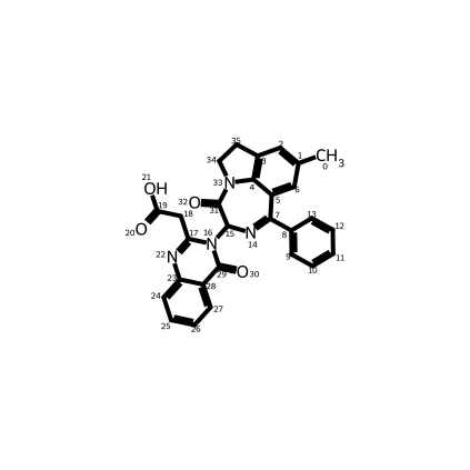 Cc1cc2c3c(c1)C(c1ccccc1)=NC(n1c(CC(=O)O)nc4ccccc4c1=O)C(=O)N3CC2